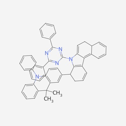 CC1(C)c2ccccc2N(c2ccccc2)c2ccc(C3CC=Cc4c3n(-c3nc(-c5ccccc5)nc(-c5ccccc5)n3)c3c4=C4C=CC=CC4CC=3)cc21